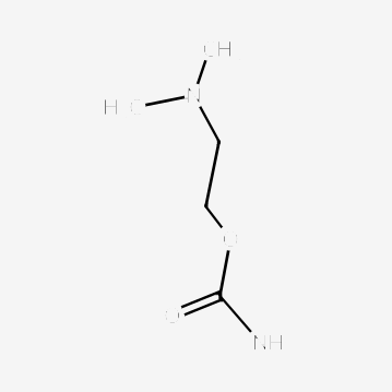 CN(C)CCOC([NH])=O